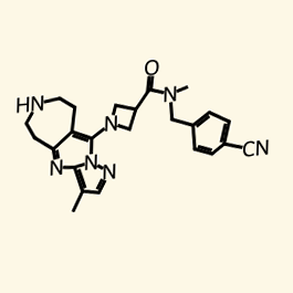 Cc1cnn2c(N3CC(C(=O)N(C)Cc4ccc(C#N)cc4)C3)c3c(nc12)CCNCC3